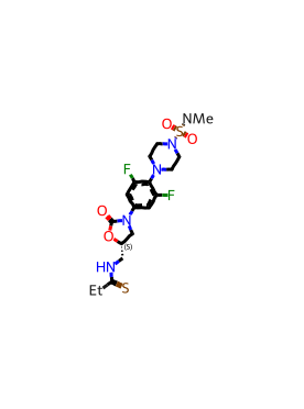 CCC(=S)NC[C@H]1CN(c2cc(F)c(N3CCN(S(=O)(=O)NC)CC3)c(F)c2)C(=O)O1